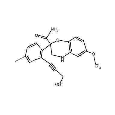 Cc1ccc(C2(C(N)=O)CNc3cc(OC(F)(F)F)ccc3O2)c(C#CCO)c1